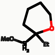 CCC1([SiH2]OC)CCCCO1